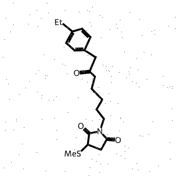 CCc1ccc(CC(=O)CCCCCN2C(=O)CC(SC)C2=O)cc1